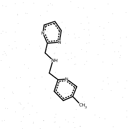 Cc1ccc(CNCc2ncccn2)nc1